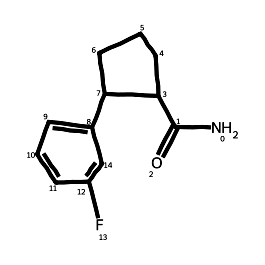 NC(=O)C1CCCC1c1cccc(F)c1